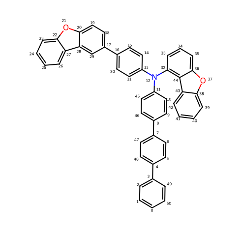 c1ccc(-c2ccc(-c3ccc(N(c4ccc(-c5ccc6oc7ccccc7c6c5)cc4)c4cccc5oc6ccccc6c45)cc3)cc2)cc1